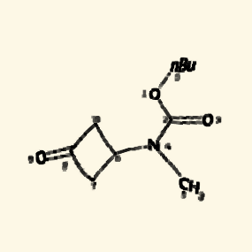 CCCCOC(=O)N(C)C1CC(=O)C1